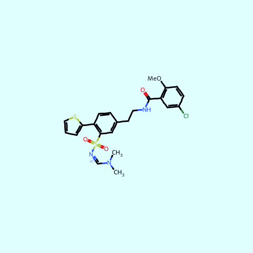 COc1ccc(Cl)cc1C(=O)NCCc1ccc(-c2cccs2)c(S(=O)(=O)/N=C\N(C)C)c1